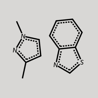 Cc1ccn(C)n1.c1ccc2scnc2c1